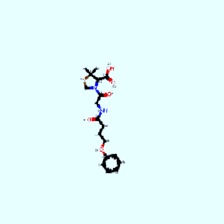 CC1(C)SCN(C(=O)CNC(=O)CCCOc2ccccc2)C1C(=O)O